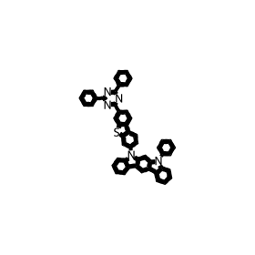 c1ccc(-c2nc(-c3ccccc3)nc(-c3ccc4c(c3)sc3cc(-n5c6ccccc6c6cc7c8ccccc8n(-c8ccccc8)c7cc65)ccc34)n2)cc1